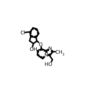 Cc1nc2c(OC3c4cccc(Cl)c4CC3O)cccn2c1CO